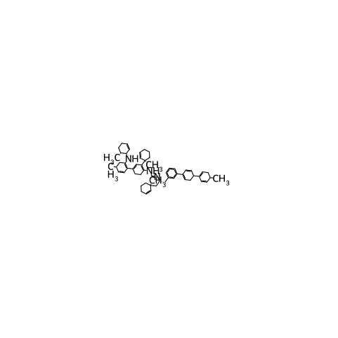 CC1C=CC(C2C=CC(c3cccc(C[C@H](CC4(C)C=CCCC4)/N=C/NC4=C(C5(C)C=CCCC5)C=C(C5=C(NC6C=CCCC6C)CC(C)C=C5)CC4)c3)=CC2)=CC1